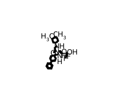 CC1(C)CCC(NCCOC2(c3ncc[nH]3)C=CC(c3ccccc3)=CC2)CC1.O=C(O)C(F)(F)F